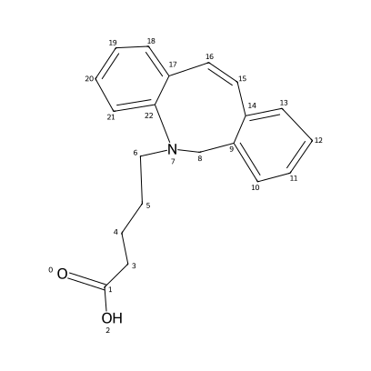 O=C(O)CCCCN1Cc2ccccc2C=Cc2ccccc21